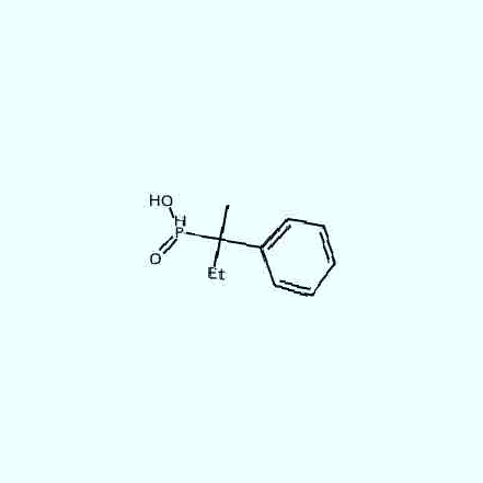 CCC(C)(c1ccccc1)[PH](=O)O